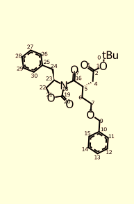 CC(C)(C)OC(=O)C[C@H](CCOCc1ccccc1)C(=O)N1C(=O)OC[C@H]1Cc1ccccc1